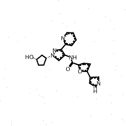 O=C(Nc1cn([C@@H]2CC[C@H](O)C2)nc1-c1ccccn1)c1ccc(-c2cn[nH]c2)o1